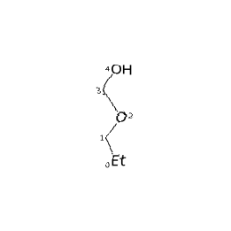 CCCO[CH]O